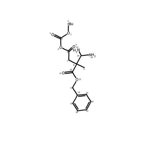 CC(C)(C)OC(=O)OC(=O)CC(C)(C(=O)OCc1ccccc1)C(N)N